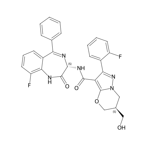 O=C(N[C@H]1N=C(c2ccccc2)c2cccc(F)c2NC1=O)c1c(-c2ccccc2F)nn2c1OC[C@H](CO)C2